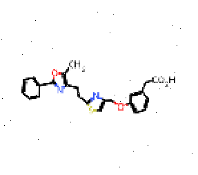 Cc1oc(-c2ccccc2)nc1CCc1nc(COc2cccc(CC(=O)O)c2)cs1